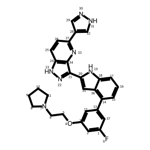 Fc1cc(OCCN2CCCC2)cc(-c2cccc3[nH]c(-c4n[nH]c5ccc(-c6cn[nH]c6)nc45)cc23)c1